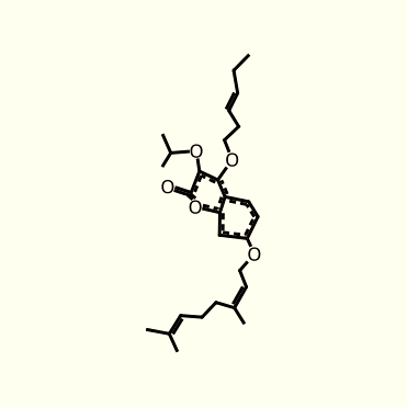 CCC=CCCOc1c(OC(C)C)c(=O)oc2cc(OCC=C(C)CCC=C(C)C)ccc12